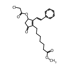 COC(=O)CCCCCCC1=C(C=Cc2ccccc2)C(OC(=O)CCl)CC1=O